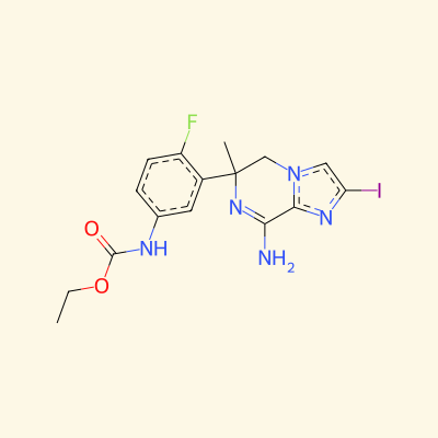 CCOC(=O)Nc1ccc(F)c(C2(C)Cn3cc(I)nc3C(N)=N2)c1